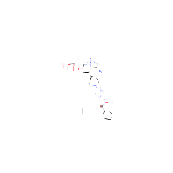 CO[C@@H](C(=O)N1CCN(c2ccc(-c3cc(OCC(C)(C)OC)cn4ncc(C#N)c34)cn2)CC1)c1ccccc1